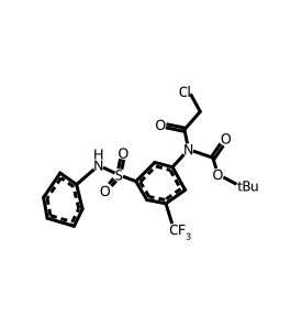 CC(C)(C)OC(=O)N(C(=O)CCl)c1cc(C(F)(F)F)cc(S(=O)(=O)Nc2ccccc2)c1